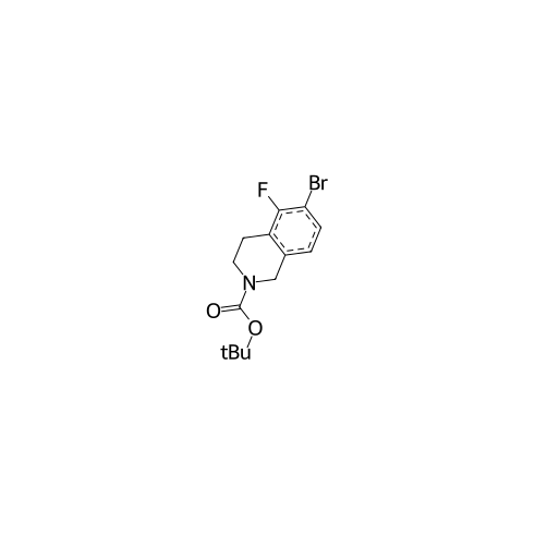 CC(C)(C)OC(=O)N1CCc2c(ccc(Br)c2F)C1